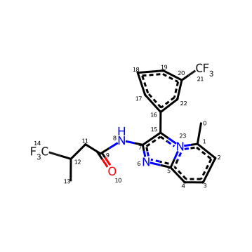 Cc1cccc2nc(NC(=O)CC(C)C(F)(F)F)c(-c3cccc(C(F)(F)F)c3)n12